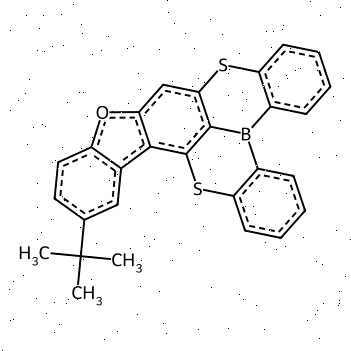 CC(C)(C)c1ccc2oc3cc4c5c(c3c2c1)Sc1ccccc1B5c1ccccc1S4